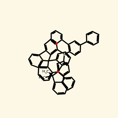 CC1(C)c2ccccc2-c2ccc(N(c3ccc(-c4ccccc4)cc3-c3ccccc3)c3cccc4c3C3(c5ccccc5-4)c4ccccc4N(c4ccccc4)c4ccccc43)cc21